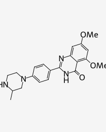 COc1cc(OC)c2c(=O)[nH]c(-c3ccc(N4CCNC(C)C4)cc3)nc2c1